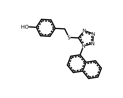 Oc1ccc(CSc2nnnn2-c2cccc3ccccc23)cc1